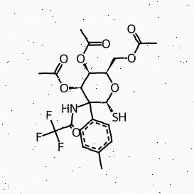 CC(=O)OC[C@H]1O[C@@H](S)C(NC(=O)C(F)(F)F)(c2ccc(C)cc2)[C@@H](OC(C)=O)[C@H]1OC(C)=O